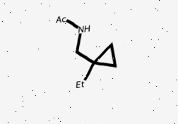 CCC1(CNC(C)=O)CC1